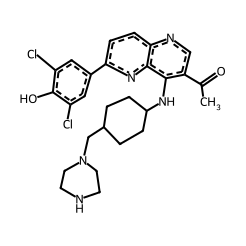 CC(=O)c1cnc2ccc(-c3cc(Cl)c(O)c(Cl)c3)nc2c1NC1CCC(CN2CCNCC2)CC1